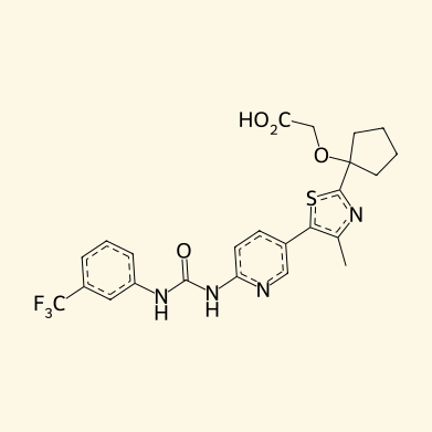 Cc1nc(C2(OCC(=O)O)CCCC2)sc1-c1ccc(NC(=O)Nc2cccc(C(F)(F)F)c2)nc1